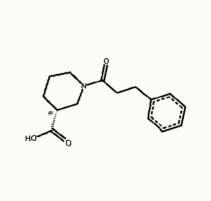 O=C(O)[C@@H]1CCCN(C(=O)CCc2ccccc2)C1